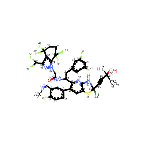 C/N=C\c1cc(-c2cc3c(nc2C(Cc2cc(F)cc(F)c2)NC(=O)Cn2nc(C(F)F)c4c2C(F)(F)CCC4(F)F)NC(Cl)(C#CC(C)(C)O)S3)ccc1F